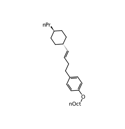 CCCCCCCCOc1ccc(CC/C=C/[C@H]2CC[C@H](CCC)CC2)cc1